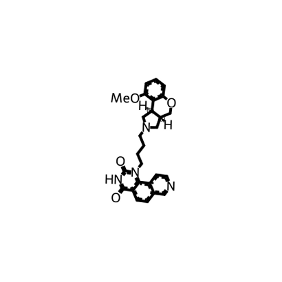 COc1cccc2c1[C@@H]1CN(CCCCn3c(=O)[nH]c(=O)c4ccc5cnccc5c43)C[C@H]1CO2